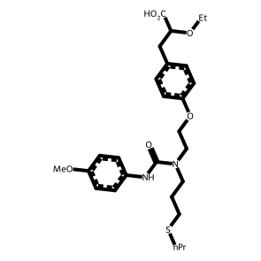 CCCSCCCN(CCOc1ccc(CC(OCC)C(=O)O)cc1)C(=O)Nc1ccc(OC)cc1